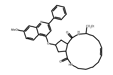 CCOC(=O)C1CCC=CCCCCNC(=O)C2CC(Oc3cc(-c4ccccc4)nc4cc(OC)ccc34)CC2C(=O)N1